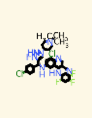 CC(C)(C)N1CCC(N2C=C([C@@H](Nc3cc(Cl)c4ncc(C#N)c(Nc5cc(F)c(F)cc5F)c4c3)c3ccc(Cl)cc3)NN2)CC1